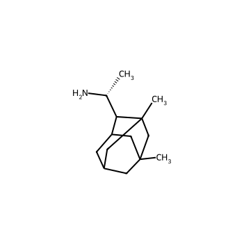 C[C@@H](N)C1C2CC3CC(C)(C2)CC1(C)C3